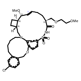 COCCOC[C@@H]1CC/C=C/[C@@H](OC)[C@@H]2CC[C@H]2CN2CCCCc3cc(Cl)ccc3COc3ccc(cc32)S(=O)(=O)NC1=O